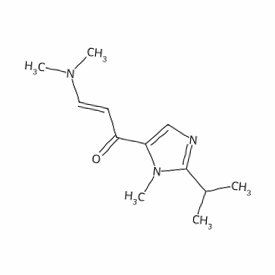 CC(C)c1ncc(C(=O)/C=C/N(C)C)n1C